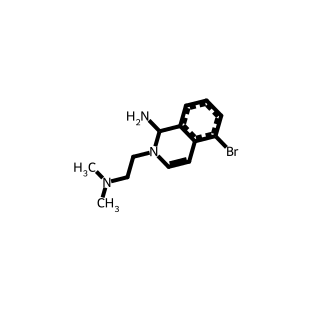 CN(C)CCN1C=Cc2c(Br)cccc2C1N